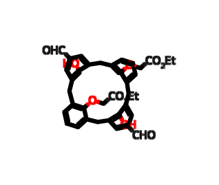 CCOC(=O)COc1c2cccc1Cc1cc(C=O)cc(c1O)Cc1cccc(c1OCC(=O)OCC)Cc1cc(C=O)cc(c1O)C2